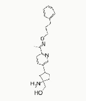 C/C(=N\OCCCc1ccccc1)c1ccc(C2CCC(N)(CO)C2)cn1